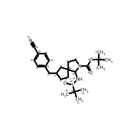 CC(C)(C)OC(=O)N1CCC2(CCC(Cc3ccc(C#N)cc3)C2)C1N[S+]([O-])C(C)(C)C